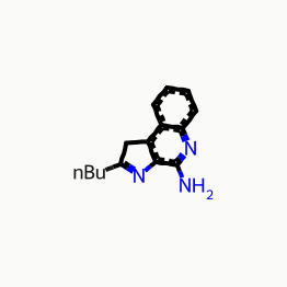 CCCCC1=Nc2c(N)nc3ccccc3c2C1